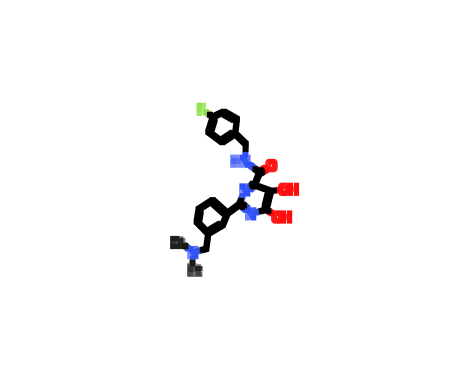 CCN(CC)Cc1cccc(-c2nc(O)c(O)c(C(=O)NCc3ccc(F)cc3)n2)c1